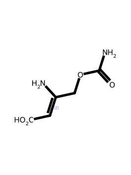 NC(=O)OC/C(N)=C/C(=O)O